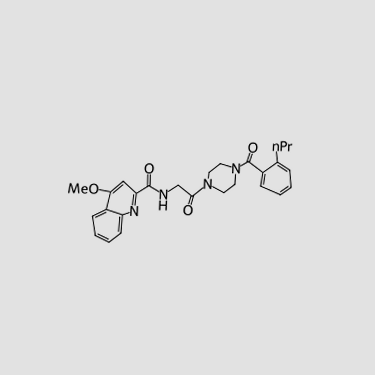 CCCc1ccccc1C(=O)N1CCN(C(=O)CNC(=O)c2cc(OC)c3ccccc3n2)CC1